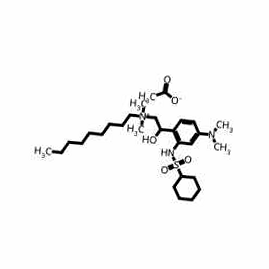 CC(=O)[O-].CCCCCCCCC[N+](C)(C)CC(O)c1ccc(N(C)C)cc1NS(=O)(=O)C1CCCCC1